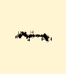 Nc1ncc(-c2ccc(S(=O)(=O)Nc3ccc(NC(=O)CCOCCOCCOCCNc4cccc5c4C(=O)N(C4CCC(=O)NC4=O)C5=O)cc3)cc2F)cc1-c1ccc2c(c1)CCNC2=O